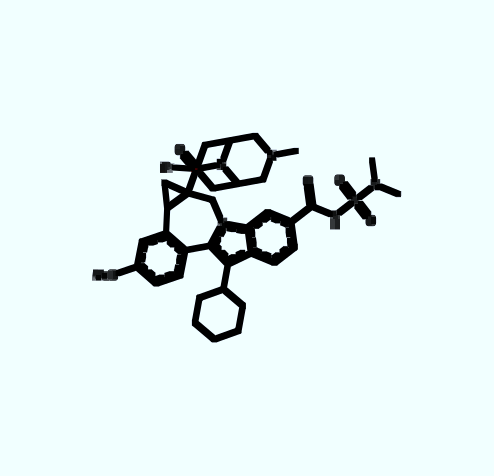 COc1ccc2c(c1)C1CC1(C(=O)N1C3CN(C)CC1CN(C(C)C)C3)Cn1c-2c(C2CCCCC2)c2ccc(C(=O)NS(=O)(=O)N(C)C)cc21